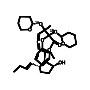 CC/C=C/[C@H]1CC[C@H](O)[C@@H]1CC=C=CC(C)([16O]C1CCCCO1)C(Oc1ccccc1)([16O]C1CCCCO1)C(=O)OC